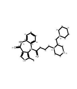 Cc1scc2c1N(C(=O)CCCN1CCOCC1CN1CCCCC1)c1ccccc1NC2=O